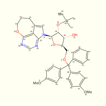 COc1ccc(C(OC[C@H]2O[C@@H](n3cc4c5c(ncnc53)OCCC4)[C@H](O[Si](C)(C)C(C)(C)C)[C@@H]2O)(c2ccccc2)c2ccc(OC)cc2)cc1